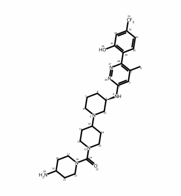 Cc1cc(N[C@@H]2CCCN(C3CCN(C(=O)N4CCC(N)CC4)CC3)C2)nnc1-c1ccc(C(F)(F)F)cc1O